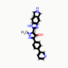 Cn1nc(-c2ccc(-c3cccnc3)cc2)c(O)c1-c1nc2cc3c(cc2[nH]1)CNC3